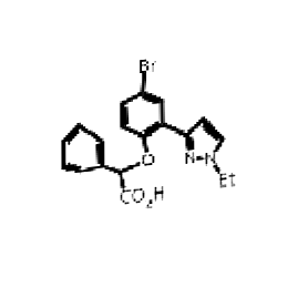 CCn1ccc(-c2cc(Br)ccc2OC(C(=O)O)c2ccccc2)n1